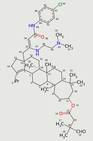 CC(C)C1=C2C3CCC4C5(C)CCC(OC(=O)CC(C)(C)C=O)CC(C)(C)C5CCC4(C)[C@]3(C)CCC2(C/C(=C/C(=O)Nc2ccc(Cl)cc2)NCCN(C)C)CC1